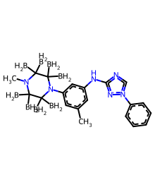 BC1(B)N(C)C(B)(B)C(B)(B)N(c2cc(C)cc(Nc3ncn(-c4ccccc4)n3)c2)C1(B)B